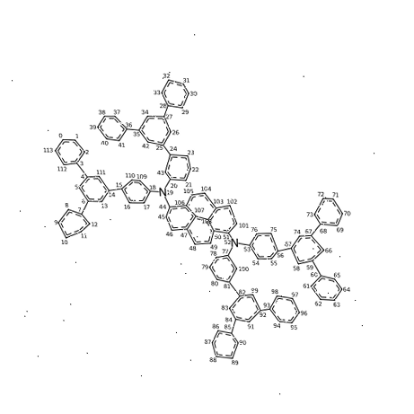 c1ccc(-c2cc(-c3ccccc3)cc(-c3ccc(N(c4cccc(-c5cc(-c6ccccc6)cc(-c6ccccc6)c5)c4)c4ccc5ccc6c(N(c7ccc(-c8cc(-c9ccccc9)cc(-c9ccccc9)c8)cc7)c7cccc(-c8cc(-c9ccccc9)cc(-c9ccccc9)c8)c7)ccc7ccc4c5c76)cc3)c2)cc1